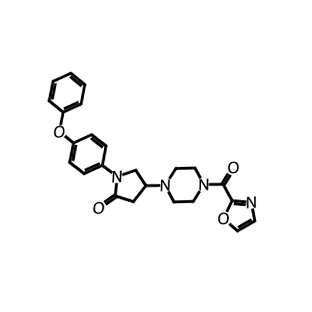 O=C(c1ncco1)N1CCN(C2CC(=O)N(c3ccc(Oc4ccccc4)cc3)C2)CC1